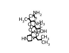 CC(C)CC(=O)N1CCNC[C@H]1C(=O)N[C@H](C(=O)N[C@@H](CCN)C(=O)C(C)C)[C@H](C)O